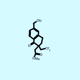 COC(=O)CC1(CC(F)(F)F)CCc2cc(CO)ccc2C1=O